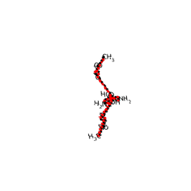 CCCCCCOC(=O)C=Cc1ccc(OCCCCCCCCCCCC(CCCCCCCCCCCOc2ccc(C=CC(=O)OCCCCCC)cc2)(c2ccc(N)cc2)C(Cc2ccc(N)cc2)(C(=O)O)C(=O)O)cc1